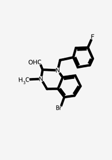 CN1Cc2c(Br)cccc2N(Cc2cccc(F)c2)C1C=O